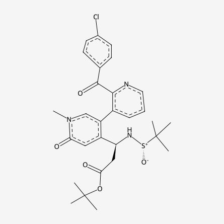 Cn1cc(-c2cccnc2C(=O)c2ccc(Cl)cc2)c([C@H](CC(=O)OC(C)(C)C)N[S@@+]([O-])C(C)(C)C)cc1=O